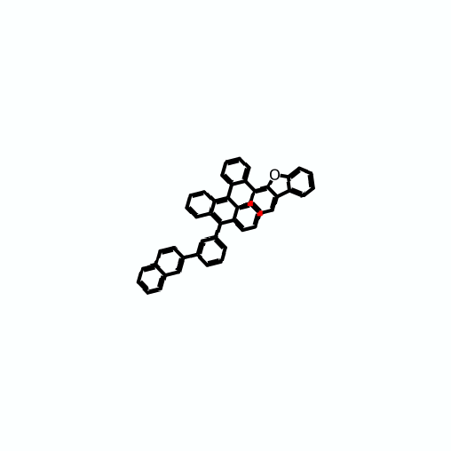 c1cc(-c2ccc3ccccc3c2)cc(-c2c3ccccc3c(-c3ccccc3-c3cccc4c3oc3ccccc34)c3ccccc23)c1